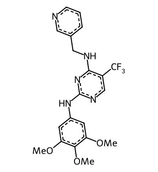 COc1cc(Nc2ncc(C(F)(F)F)c(NCc3cccnc3)n2)cc(OC)c1OC